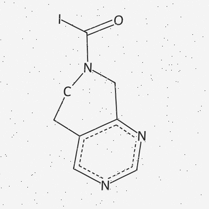 O=C(I)N1CCc2cncnc2C1